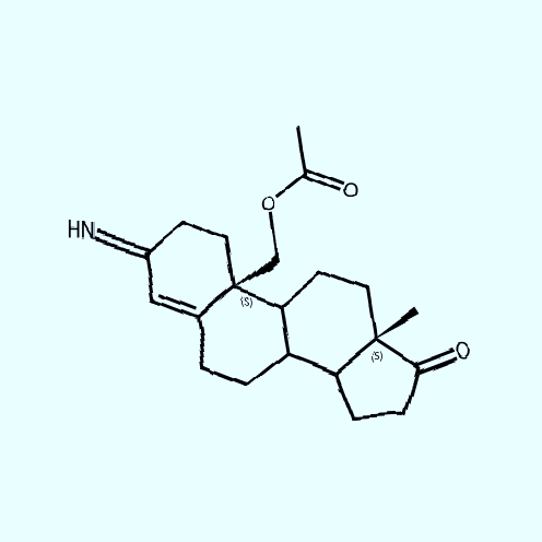 CC(=O)OC[C@]12CCC(=N)C=C1CCC1C2CC[C@]2(C)C(=O)CCC12